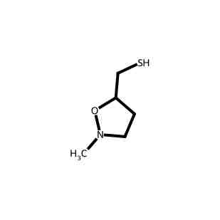 CN1CCC(CS)O1